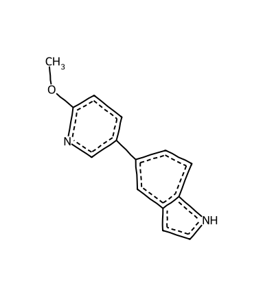 COc1ccc(-c2ccc3[nH]ccc3c2)cn1